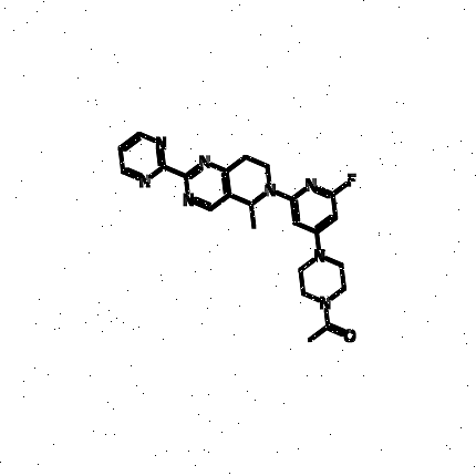 CC(=O)N1CCN(c2cc(F)nc(N3CCc4nc(-c5ncccn5)ncc4C3C)c2)CC1